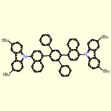 CC(C)(C)c1ccc2c(c1)c1cc(C(C)(C)C)ccc1n2-c1ccc(-c2cc(-c3ccccc3)c(-c3ccc(-n4c5ccc(C(C)(C)C)cc5c5cc(C(C)(C)C)ccc54)c4ccccc34)cc2-c2ccccc2)c2ccccc12